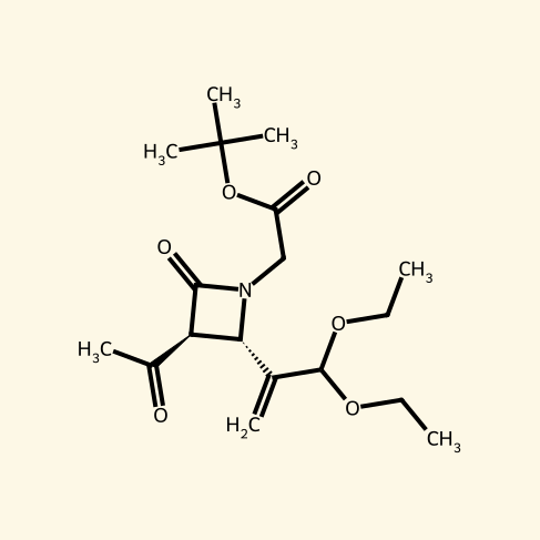 C=C(C(OCC)OCC)[C@@H]1[C@@H](C(C)=O)C(=O)N1CC(=O)OC(C)(C)C